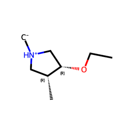 [CH2-][NH+]1C[C@@H](C)[C@@H](OCC)C1